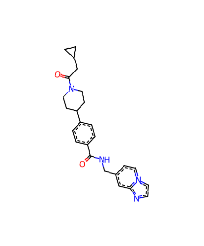 O=C(NCc1ccn2ccnc2c1)c1ccc(C2CCN(C(=O)CC3CC3)CC2)cc1